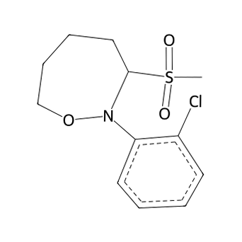 CS(=O)(=O)C1CCCCON1c1ccccc1Cl